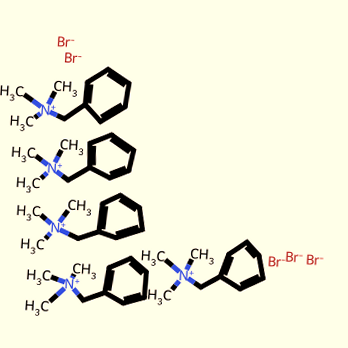 C[N+](C)(C)Cc1ccccc1.C[N+](C)(C)Cc1ccccc1.C[N+](C)(C)Cc1ccccc1.C[N+](C)(C)Cc1ccccc1.C[N+](C)(C)Cc1ccccc1.[Br-].[Br-].[Br-].[Br-].[Br-]